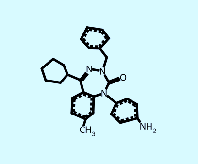 Cc1ccc2c(c1)N(c1ccc(N)cc1)C(=O)N(Cc1ccccc1)N=C2C1CCCCC1